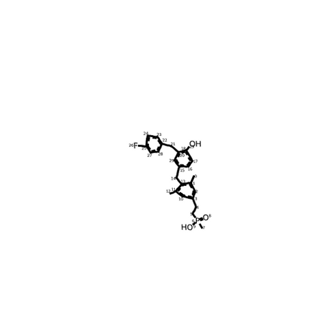 Cc1cc(CCP(C)(=O)O)cc(C)c1Cc1ccc(O)c(Cc2ccc(F)cc2)c1